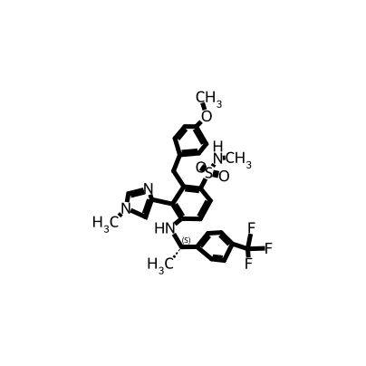 CNS(=O)(=O)c1ccc(N[C@@H](C)c2ccc(C(F)(F)F)cc2)c(-c2cn(C)cn2)c1Cc1ccc(OC)cc1